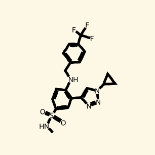 CNS(=O)(=O)c1ccc(NCc2ccc(C(F)(F)F)cc2)c(-c2cn(C3CC3)nn2)c1